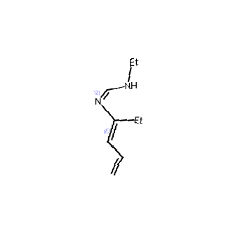 C=C/C=C(CC)/N=C\NCC